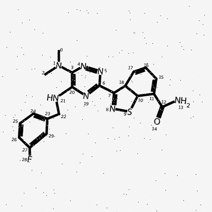 CN(C)c1nnc(C2=NSC3C(C(N)=O)=CC=CC23)nc1NCc1cccc(F)c1